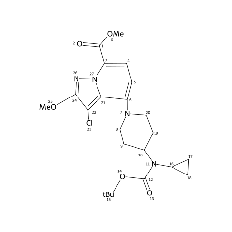 COC(=O)c1ccc(N2CCC(N(C(=O)OC(C)(C)C)C3CC3)CC2)c2c(Cl)c(OC)nn12